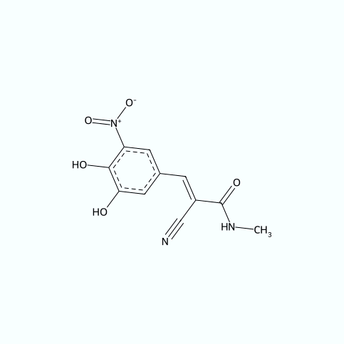 CNC(=O)/C(C#N)=C/c1cc(O)c(O)c([N+](=O)[O-])c1